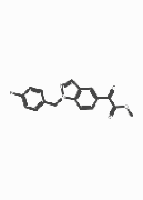 COC(=O)C(=O)c1ccc2c(cnn2Cc2ccc(F)cc2)c1